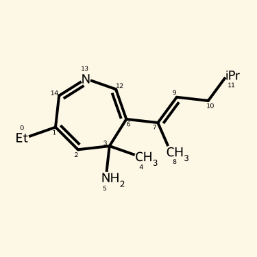 CCC1=CC(C)(N)C(/C(C)=C/CC(C)C)=CN=C1